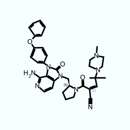 CN1CCN(C(C)(C)/C=C(/C#N)C(=O)N2CCC[C@H]2Cn2c(=O)n(-c3ccc(Oc4ccccc4)cc3)c3c(N)nccc32)CC1